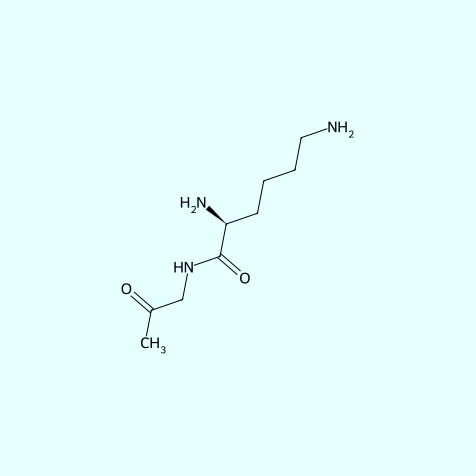 CC(=O)CNC(=O)[C@@H](N)CCCCN